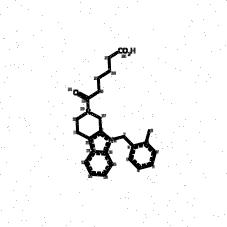 Cc1ccccc1Cn1c2c(c3ccccc31)CCN(C(=O)CCCCC(=O)O)C2